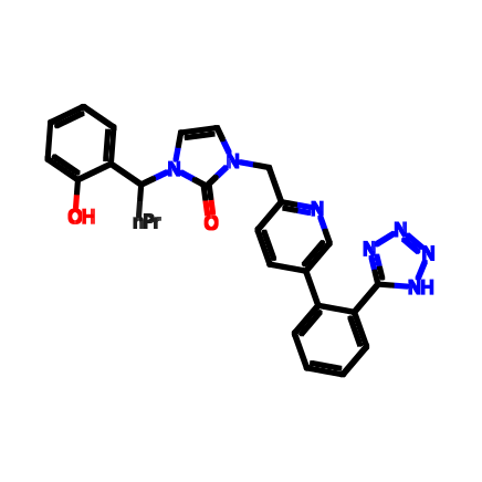 CCCC(c1ccccc1O)n1ccn(Cc2ccc(-c3ccccc3-c3nnn[nH]3)cn2)c1=O